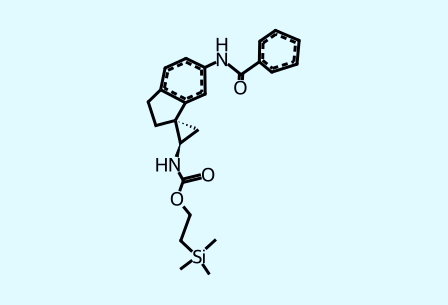 C[Si](C)(C)CCOC(=O)N[C@@H]1C[C@@]12CCc1ccc(NC(=O)c3ccccc3)cc12